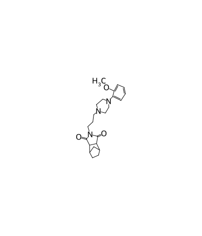 COc1ccccc1N1CCN(CCCN2C(=O)C3C4CCC(C4)C3C2=O)CC1